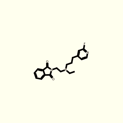 CCN(CCCc1ccnc(F)c1)CCN1C(=O)c2ccccc2C1=O